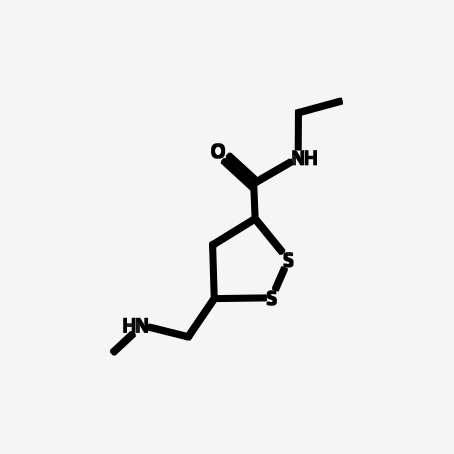 CCNC(=O)C1CC(CNC)SS1